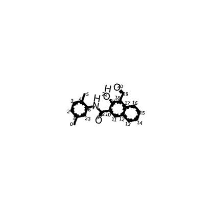 Cc1ccc(C)c(NC(=O)c2cc3ccccc3c(C=O)c2O)c1